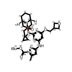 Cc1cc(Nc2cc(OCC3COC3)nc(N(C)C3C[C@H]4CCC[C@@H](C3)N4C(=O)CC3CC3)n2)nn1C(=O)OC(C)(C)C